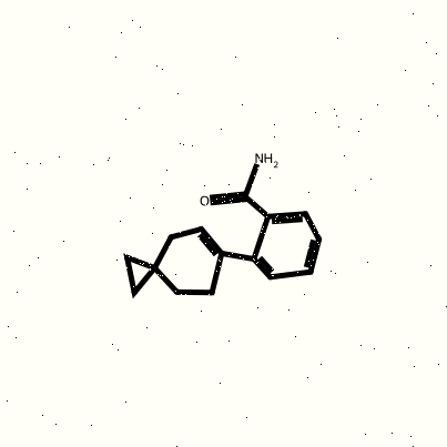 NC(=O)c1ccccc1C1=CCC2(CC1)CC2